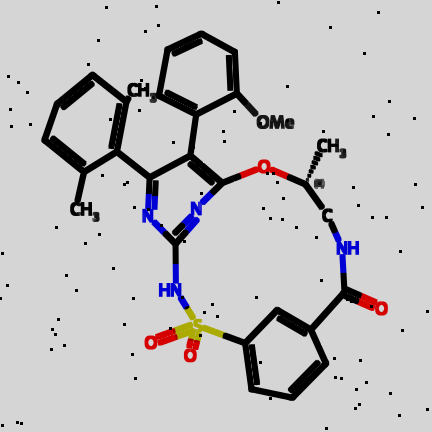 COc1ccccc1-c1c2nc(nc1-c1c(C)cccc1C)NS(=O)(=O)c1cccc(c1)C(=O)NC[C@@H](C)O2